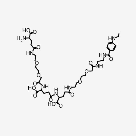 CCNc1ccc(C(=O)NCCNC(=O)COCCOCCNC(=O)CCC(NC(=O)CCC(NC(=O)COCCOCCNC(=O)CCC(N)C(=O)O)C(=O)O)C(=O)O)cc1